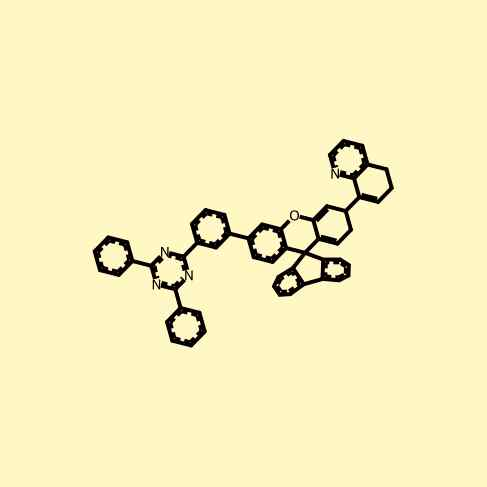 C1=C2Oc3cc(-c4cccc(-c5nc(-c6ccccc6)nc(-c6ccccc6)n5)c4)ccc3C3(C2=CCC1C1=CCCc2cccnc21)c1ccccc1-c1ccccc13